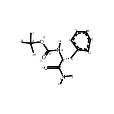 CN(C)C(=O)[C@@H](Cc1ccccc1)N(C)C(=O)OC(C)(C)C